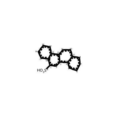 O=S(=O)(O)c1cc2c3ccccc3ccc2c2ccccc12